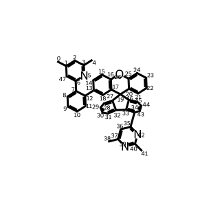 Cc1cc(C)nc(-c2ccccc2-c2ccc3c(c2)C2(c4ccccc4O3)c3ccccc3-c3c(-c4cc(C)nc(C)n4)cccc32)c1